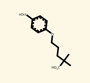 CCCCCCCCc1ccc(OCCCC(C)(C)C(=O)O)cc1